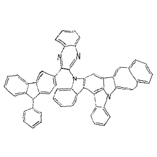 c1ccc(C2c3ccccc3-c3cc(-c4nc5ccccc5nc4-n4c5ccccc5c5c6c7ccccc7n7c8cc9ccccc9cc8c(cc54)c67)ccc32)cc1